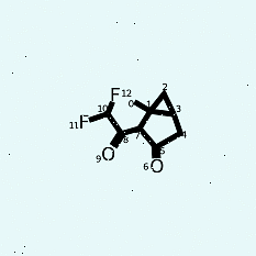 CC12CC1CC(=O)C2C(=O)C(F)F